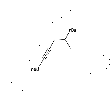 [CH2]CCCC#CCC(C)CCC[CH2]